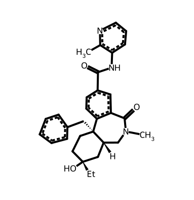 CC[C@@]1(O)CC[C@@]2(Cc3ccccc3)c3ccc(C(=O)Nc4cccnc4C)cc3C(=O)N(C)C[C@@H]2C1